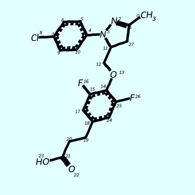 CC1=NN(c2ccc(Cl)cc2)C(COc2c(F)cc(CCC(=O)O)cc2F)C1